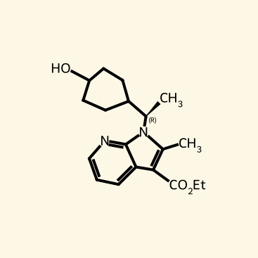 CCOC(=O)c1c(C)n([C@H](C)C2CCC(O)CC2)c2ncccc12